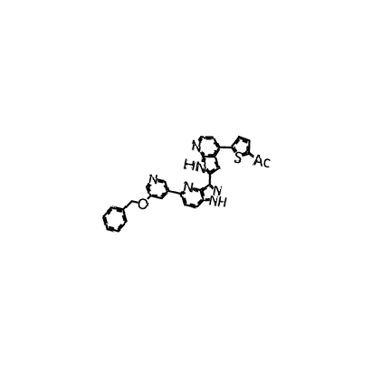 CC(=O)c1ccc(-c2ccnc3[nH]c(-c4n[nH]c5ccc(-c6cncc(OCc7ccccc7)c6)nc45)cc23)s1